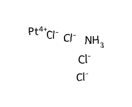 N.[Cl-].[Cl-].[Cl-].[Cl-].[Pt+4]